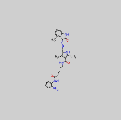 Cc1cccc2c1C(=NN=Cc1[nH]c(C)c(C(=O)NCCCCCC(=O)Nc3ccccc3N)c1C)C(=O)N2